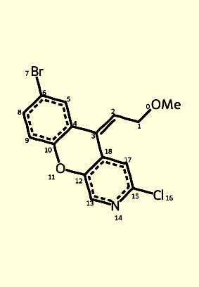 COCC=C1c2cc(Br)ccc2Oc2cnc(Cl)cc21